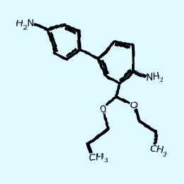 CCCOC(OCCC)c1cc(-c2ccc(N)cc2)ccc1N